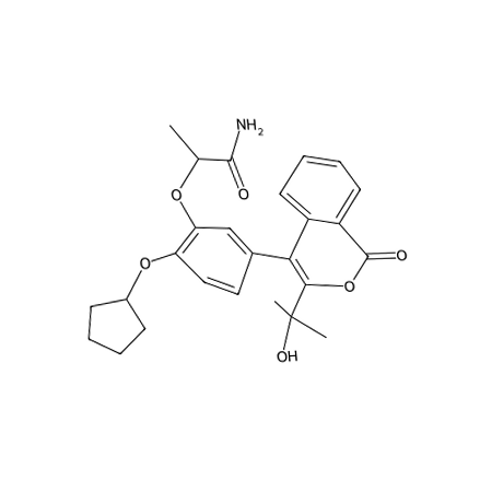 CC(Oc1cc(-c2c(C(C)(C)O)oc(=O)c3ccccc23)ccc1OC1CCCC1)C(N)=O